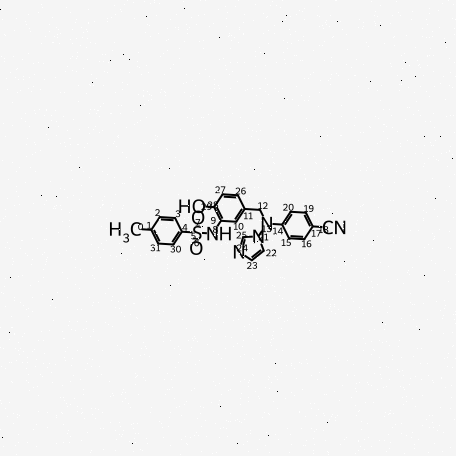 Cc1ccc(S(=O)(=O)Nc2cc(CN(c3ccc(C#N)cc3)n3ccnc3)ccc2O)cc1